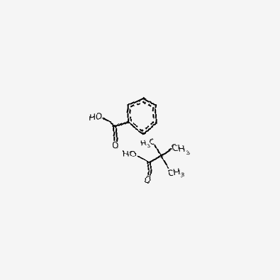 CC(C)(C)C(=O)O.O=C(O)c1ccccc1